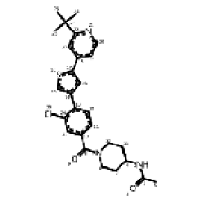 CC(=O)NC1CCN(C(=O)c2ccc(-c3csc(-c4ccnc(C(C)(C)C)c4)c3)c(Cl)c2)CC1